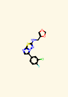 Fc1ccc(-c2cnc3sc(NCC4=COCO4)nn23)cc1Cl